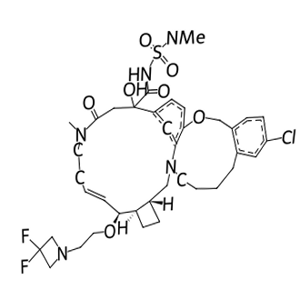 CNS(=O)(=O)NC(=O)C1(O)CC(=O)N(C)CC/C=C/[C@H](OCCN2CC(F)(F)C2)[C@@H]2CC[C@H]2CN2CCCCc3cc(Cl)ccc3COc3ccc1cc32